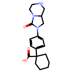 O=C1N(c2ccc(C3(C(=O)O)CCCCC3)cc2)CC2CNCCN12